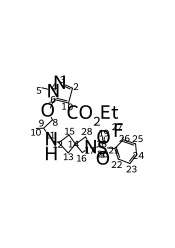 CCOC(=O)c1cnn(C)c1OCC(C)NC1CC2(C1)CN(S(=O)(=O)c1ccccc1F)C2